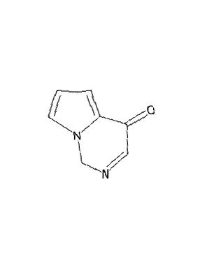 O=C1C=NCn2cccc21